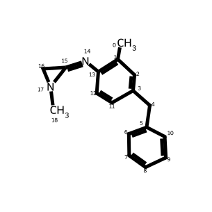 Cc1cc(Cc2ccccc2)ccc1/N=C1/CN1C